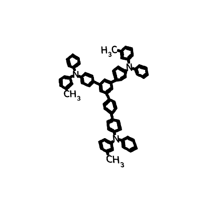 Cc1cccc(N(c2ccccc2)c2ccc(-c3ccc(-c4cc(-c5ccc(N(c6ccccc6)c6cccc(C)c6)cc5)cc(-c5ccc(N(c6ccccc6)c6cccc(C)c6)cc5)c4)cc3)cc2)c1